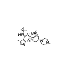 Cc1csc2c1C(NC1(C)CC1)=NC(N)(c1ccc(N3CCN(C)CC3)cc1F)N2